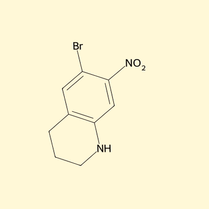 O=[N+]([O-])c1cc2c(cc1Br)CCCN2